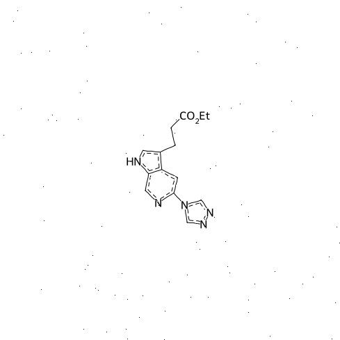 CCOC(=O)CCc1c[nH]c2cnc(-n3cnnc3)cc12